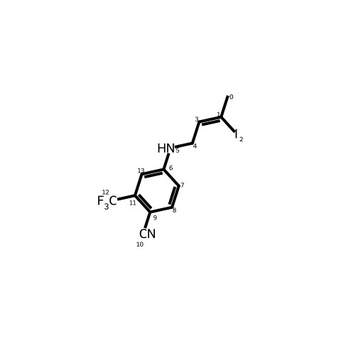 C/C(I)=C/CNc1ccc(C#N)c(C(F)(F)F)c1